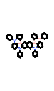 c1ccc(B2c3ccccc3B3c4cc5cc6c(cc5cc4N(c4ccccc4)c4cccc2c43)N(c2ccccc2)c2cccc3c2B6c2ccccc2N3c2ccccc2)cc1